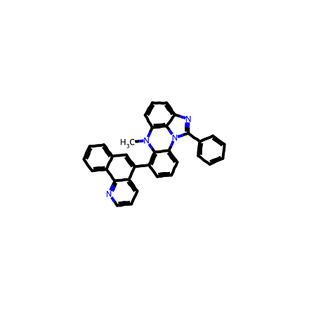 CN1c2c(-c3cc4ccccc4c4ncccc34)cccc2-n2c(-c3ccccc3)nc3cccc1c32